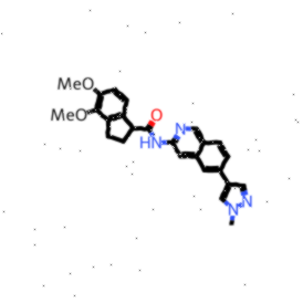 COc1ccc2c(c1OC)CCC2C(=O)Nc1cc2cc(-c3cnn(C)c3)ccc2cn1